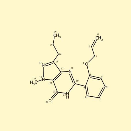 C=CCOc1ccccc1-c1nc2c(CCC)nn(C)c2c(=O)[nH]1